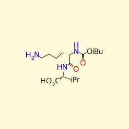 CC(C)COC(=O)N[C@@H](CCCCN)C(=O)N[C@H](C(=O)O)C(C)C